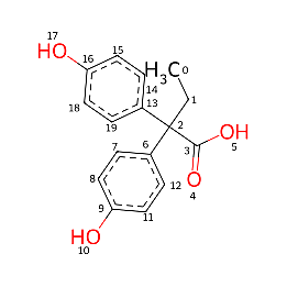 CCC(C(=O)O)(c1ccc(O)cc1)c1ccc(O)cc1